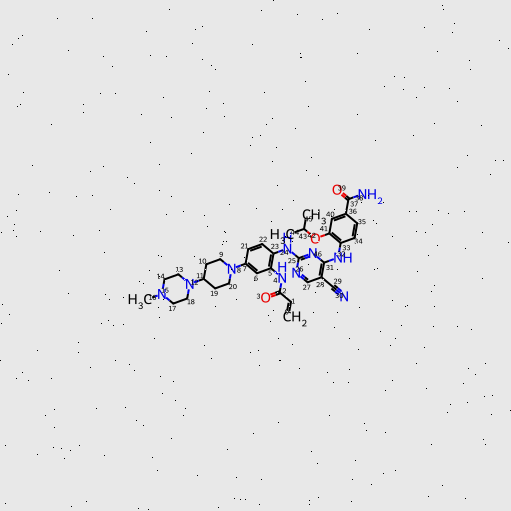 C=CC(=O)Nc1cc(N2CCC(N3CCN(C)CC3)CC2)ccc1Nc1ncc(C#N)c(Nc2ccc(C(N)=O)cc2OC(C)C)n1